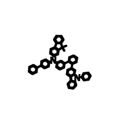 CC1(C)c2ccccc2-c2ccc(N(c3ccc(-c4ccccc4)cc3)c3cccc(-c4ccccc4-c4ccc5c6ccccc6n(-c6ccccc6)c5c4)c3)cc21